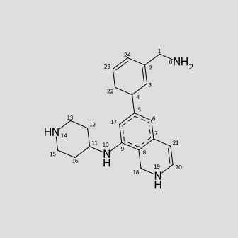 NCC1=CC(c2cc3c(c(NC4CCNCC4)c2)CNC=C3)CC=C1